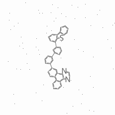 c1cc(-c2cccc(-c3cccc4c3sc3ccccc34)c2)cc(-c2ccc3c4ccccc4c4nccnc4c3c2)c1